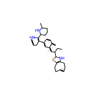 C=c1ccc(C2=C(C3CCCC(C)N3)NC=CC2)c/c1=C/C(CC)C1NC2=C(CC/C=C/CC2)S1